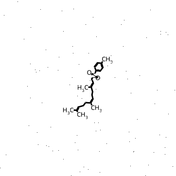 CC(C)=CCCC(C)=CCC/C(C)=C/CS(=O)(=O)c1ccc(C)cc1